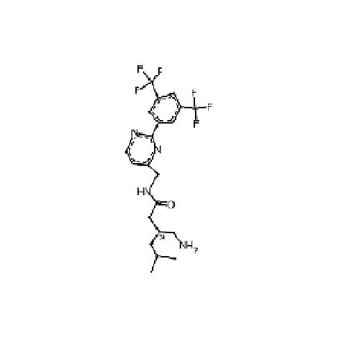 CC(C)C[C@H](CN)CC(=O)NCc1ccnc(-c2cc(C(F)(F)F)cc(C(F)(F)F)c2)n1